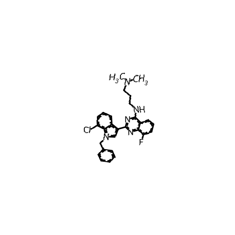 CN(C)CCCNc1nc(-c2cn(Cc3ccccc3)c3c(Cl)cccc23)nc2c(F)cccc12